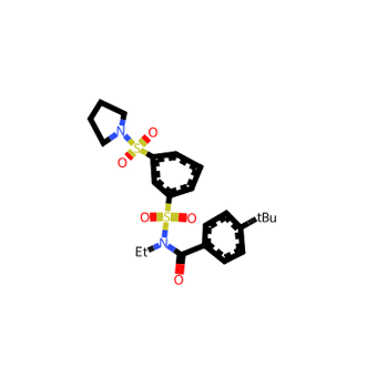 CCN(C(=O)c1ccc(C(C)(C)C)cc1)S(=O)(=O)c1cccc(S(=O)(=O)N2CCCC2)c1